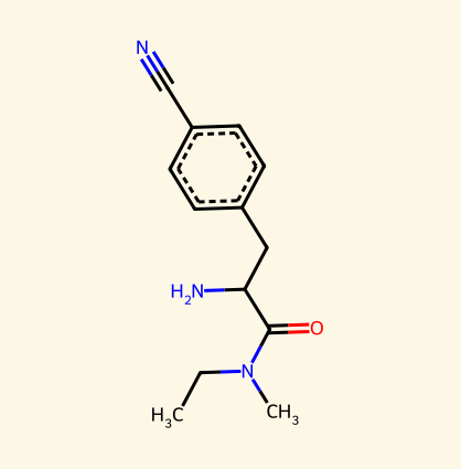 CCN(C)C(=O)C(N)Cc1ccc(C#N)cc1